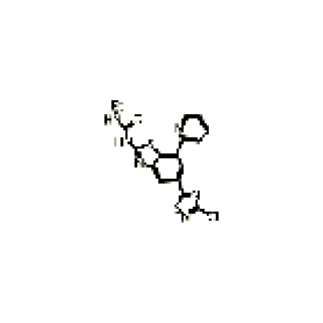 CCNC(=O)Nc1nc2cc(-c3nc(Cl)ns3)cc(-c3ccccn3)c2s1